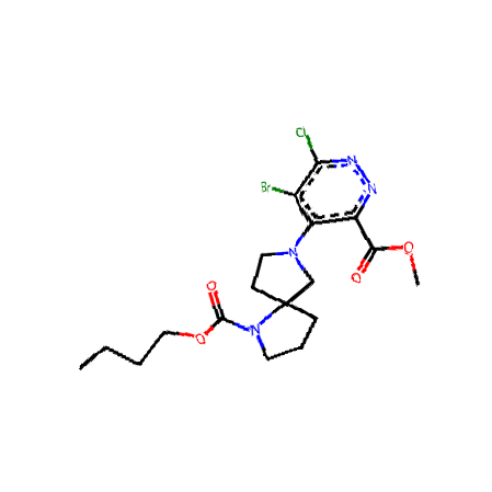 CCCCOC(=O)N1CCCC12CCN(c1c(C(=O)OC)nnc(Cl)c1Br)C2